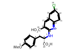 COc1ccc(C[C@H](Nc2nc3ccc(Cl)cc3cc2C(=O)O)C(=O)O)cc1